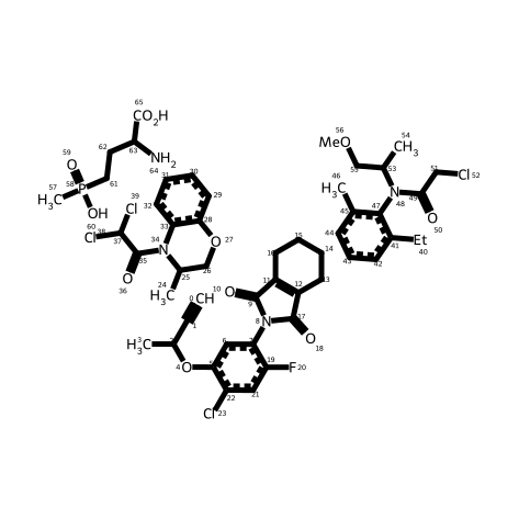 C#CC(C)Oc1cc(N2C(=O)C3=C(CCCC3)C2=O)c(F)cc1Cl.CC1COc2ccccc2N1C(=O)C(Cl)Cl.CCc1cccc(C)c1N(C(=O)CCl)C(C)COC.CP(=O)(O)CCC(N)C(=O)O